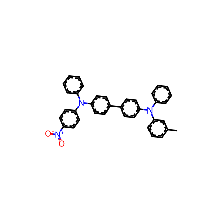 Cc1cccc(N(c2ccccc2)c2ccc(-c3ccc(N(c4ccccc4)c4ccc([N+](=O)[O-])cc4)cc3)cc2)c1